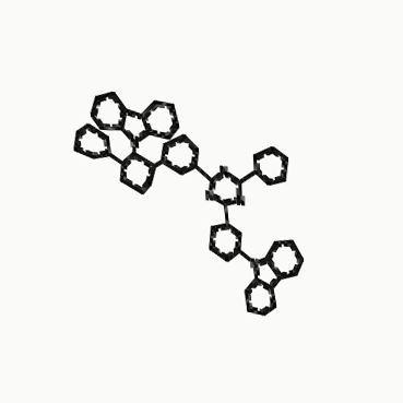 c1ccc(-c2nc(-c3cccc(-c4cccc(-c5ccccc5)c4-n4c5ccccc5c5ccccc54)c3)nc(-c3cccc(-n4c5ccccc5c5ccccc54)c3)n2)cc1